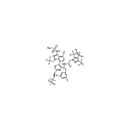 CC(C)(C#Cc1ccc(-c2ccc(Cl)c3c(NS(C)(=O)=O)nn(CC(F)(F)F)c23)c([C@H](Cc2cc(F)cc(F)c2)NC(=O)Cn2nc(C(F)(F)F)c3c2C(F)(F)[C@@H]2C[C@H]32)n1)S(C)(=O)=O.[Na]